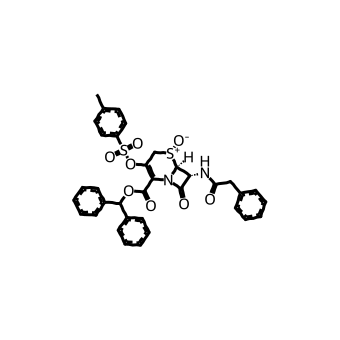 Cc1ccc(S(=O)(=O)OC2=C(C(=O)OC(c3ccccc3)c3ccccc3)N3C(=O)[C@@H](NC(=O)Cc4ccccc4)[C@@H]3[S+]([O-])C2)cc1